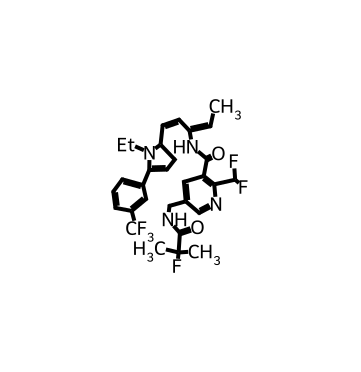 C/C=C(\C=C/C1CC=C(c2cccc(C(F)(F)F)c2)N1CC)NC(=O)c1cc(CNC(=O)C(C)(C)F)cnc1C(F)F